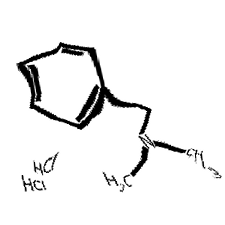 CN(C)Cc1ccccc1.Cl.Cl